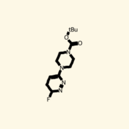 CC(C)(C)OC(=O)N1CCN(C2=CCC(F)N=N2)CC1